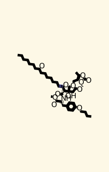 CCCCCCCC(=O)CCCCCC/C=C/[C@H](C(=O)N[C@@H](Cc1ccc(OCCCC)cc1)C(=O)OC)[C@@](O)(CCOC)C(=O)OCc1oc(=O)oc1C